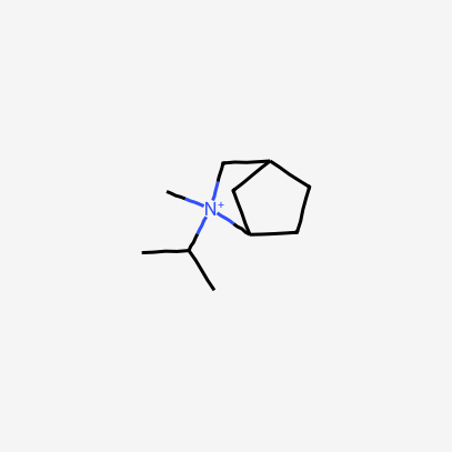 CC(C)[N+]1(C)CC2CCC1C2